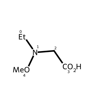 CCN(CC(=O)O)OC